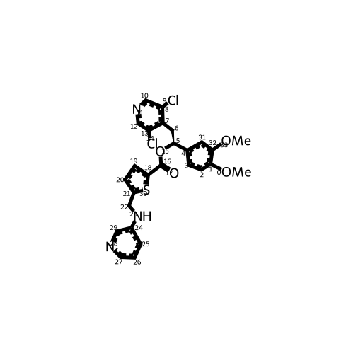 COc1ccc([C@H](Cc2c(Cl)cncc2Cl)OC(=O)c2ccc(CNc3cccnc3)s2)cc1OC